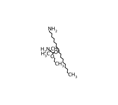 CCCCCCCCCCCCCCCCCCN.CCCOC(=O)C(C)(C)N